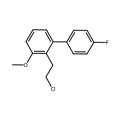 COc1[c]ccc(-c2ccc(F)cc2)c1CCCl